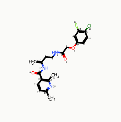 C=C(CCNC(=O)COc1ccc(Cl)c(F)c1)NC(=O)c1ccc(C)nc1C